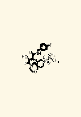 CN(C)S(=O)(=O)N1CCC2(CC1)COCCn1c2nc(C(=O)NCc2ccc(F)cc2)c(O)c1=O